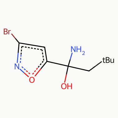 CC(C)(C)CC(N)(O)c1cc(Br)no1